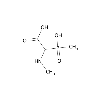 CNC(C(=O)O)P(C)(=O)O